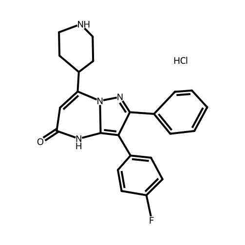 Cl.O=c1cc(C2CCNCC2)n2nc(-c3ccccc3)c(-c3ccc(F)cc3)c2[nH]1